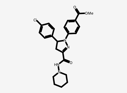 COC(=O)c1ccc(N2N=C(C(=O)NN3CCCCC3)CC2c2ccc(Cl)cc2)cc1